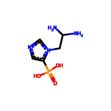 NC(N)Cn1cncc1P(=O)(O)O